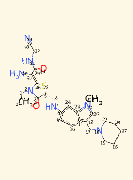 CCN1C(=O)[C@@H](CNc2ccc3c(CN4CCCCC4)cn(C)c3c2)S/C1=C(/N)C(=O)NCC#N